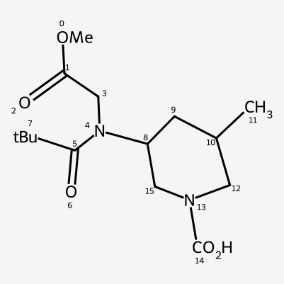 COC(=O)CN(C(=O)C(C)(C)C)C1CC(C)CN(C(=O)O)C1